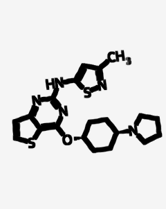 Cc1cc(Nc2nc(O[C@H]3CC[C@H](N4CCCC4)CC3)c3sccc3n2)sn1